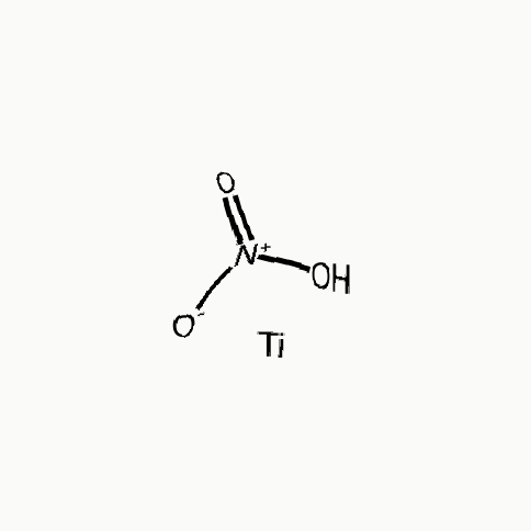 O=[N+]([O-])O.[Ti]